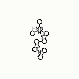 C1=CCC(C2=NC(C3=c4sc5c(-c6cccc7c6sc6c(-n8c9ccccc9c9ccccc98)cccc67)cccc5c4=CCC3)=NC(c3ccccc3)N2)C=C1